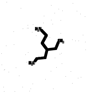 C[CH]CC(CC)CCN